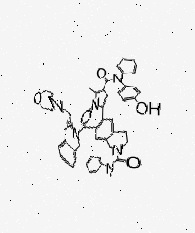 Cc1c(C(=O)N(c2ccccc2)c2ccc(O)cc2)cc(-c2cc3c(cc2C(=O)N2Cc4ccccc4C[C@H]2CN2CCOCC2)CN(C(=O)N(C)c2ccccc2)CC3)n1C